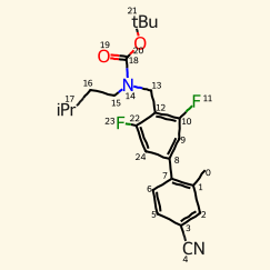 Cc1cc(C#N)ccc1-c1cc(F)c(CN(CCC(C)C)C(=O)OC(C)(C)C)c(F)c1